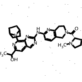 CC(O)c1cc2cnc(Nc3ccc4c(n3)CCN(C(=O)[C@@H]3CCCN3C)C4)nc2c(N2C3CCC2CC3)n1